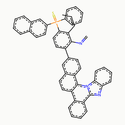 C=Nc1c(-c2ccc3c(ccc4c5ccccc5c5nc6ccccc6n5c34)c2)ccc(P(=S)(c2ccccc2)c2ccc3ccccc3c2)c1/C=C\C